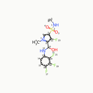 CC(C)NS(=O)(=O)c1cn(C)c(C(O)Nc2ccc(F)c(F)c2F)c1F